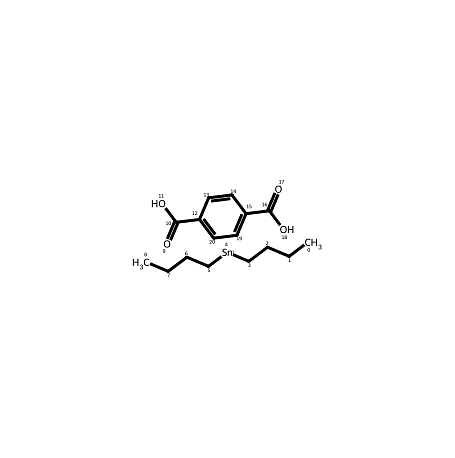 CCC[CH2][Sn][CH2]CCC.O=C(O)c1ccc(C(=O)O)cc1